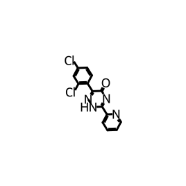 O=c1nc(-c2ccccn2)[nH]nc1-c1ccc(Cl)cc1Cl